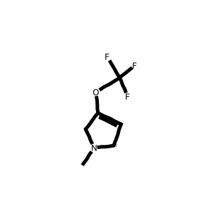 CN1[C]C=C(OC(F)(F)F)C1